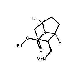 CNC[C@H]1NC[C@H]2CC[C@@H]1N2C(=O)OC(C)(C)C